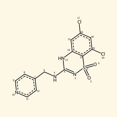 O=S1(=O)N=C(NCc2ccncc2)Nc2cc(Cl)cc(Cl)c21